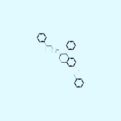 c1ccc(CCNC[C@@H]2CCc3cc(OCc4ccccc4)ccc3[C@@H]2c2ccccc2)cc1